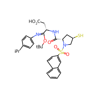 CC(C)c1ccc(N=C(OC(C)(C)C)[C@H](CC(=O)O)NC(=O)[C@@H]2C[C@@H](S)CN2S(=O)(=O)c2ccc3ccccc3c2)cc1